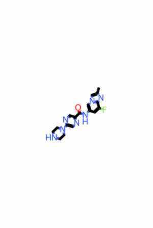 Cc1cn2cc(NC(=O)c3cnc(N4CCNCC4)cn3)cc(F)c2n1